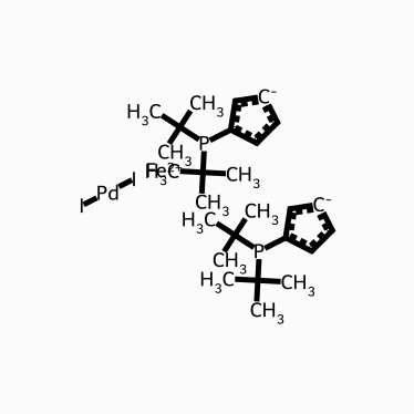 CC(C)(C)P(c1cc[cH-]c1)C(C)(C)C.CC(C)(C)P(c1cc[cH-]c1)C(C)(C)C.[Fe+2].[I][Pd][I]